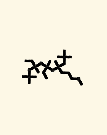 CC[Si](C)(O[Si](C)(C)C)O[Si](C)(CC)O[Si](C)(CCCOC)C[Si](C)(C)C